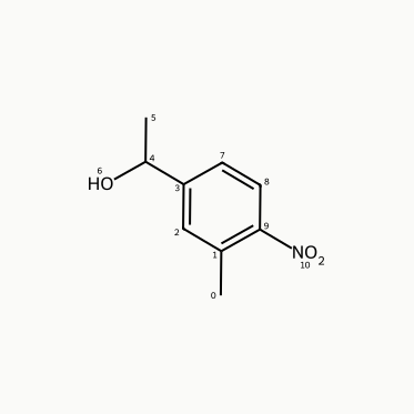 Cc1cc(C(C)O)ccc1[N+](=O)[O-]